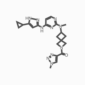 CN(c1nccc(Nc2cc(C3CC3)[nH]n2)n1)C1CC2(C1)CN(C(=O)c1cn(C)nn1)C2